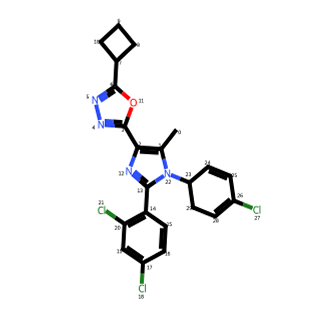 Cc1c(-c2nnc(C3CCC3)o2)nc(-c2ccc(Cl)cc2Cl)n1C1C=CC(Cl)=CC1